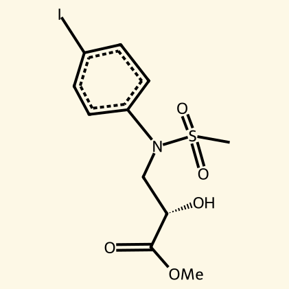 COC(=O)[C@@H](O)CN(c1ccc(I)cc1)S(C)(=O)=O